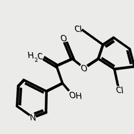 C=C(C(=O)Oc1c(Cl)cccc1Cl)C(O)c1cccnc1